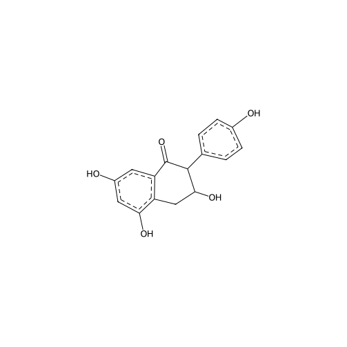 O=C1c2cc(O)cc(O)c2CC(O)C1c1ccc(O)cc1